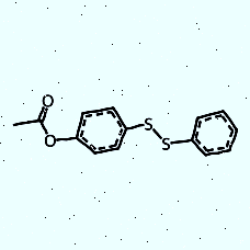 CC(=O)Oc1ccc(SSc2ccccc2)cc1